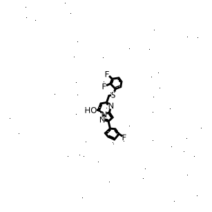 Oc1cc(CSc2cccc(F)c2F)nc2cc(-c3cccc(F)c3)nn12